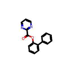 O=C(Oc1ccccc1-c1ccccc1)c1ncccn1